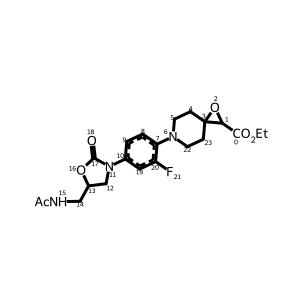 CCOC(=O)C1OC12CCN(c1ccc(N3CC(CNC(C)=O)OC3=O)cc1F)CC2